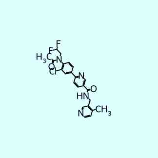 CC(=O)N(CC(F)F)c1ccc(-c2ccc(C(=O)NCc3cnccc3C)cn2)cc1Cl